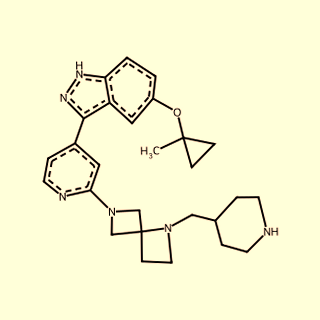 CC1(Oc2ccc3[nH]nc(-c4ccnc(N5CC6(CCN6CC6CCNCC6)C5)c4)c3c2)CC1